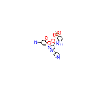 COc1cc(C#N)ccc1Oc1nnc(C2=CCN(C)CC2)c(C)c1C(=O)Nc1cccc(S(C)(=O)=O)c1